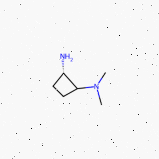 CN(C)C1CC[C@@H]1N